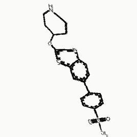 CS(=O)(=O)c1ccc(-c2ccc3nc(OC4CCNCC4)sc3c2)cc1